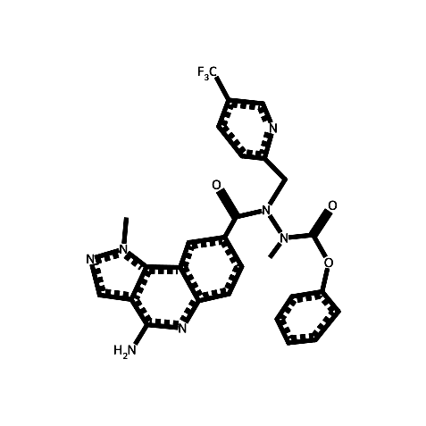 CN(C(=O)Oc1ccccc1)N(Cc1ccc(C(F)(F)F)cn1)C(=O)c1ccc2nc(N)c3cnn(C)c3c2c1